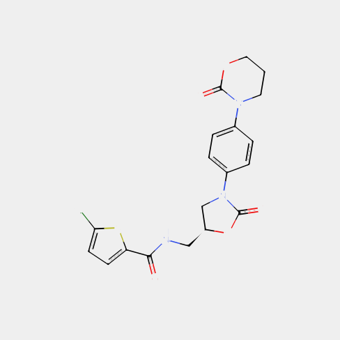 O=C(NC[C@H]1CN(c2ccc(N3CCCOC3=O)cc2)C(=O)O1)c1ccc(Cl)s1